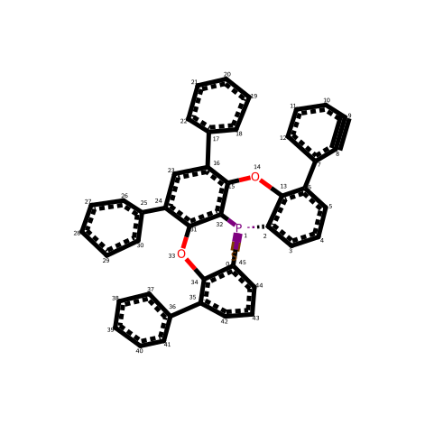 S=[P@@]12c3cccc(-c4c#cccc4)c3Oc3c(-c4ccccc4)cc(-c4ccccc4)c(c31)Oc1c(-c3ccccc3)cccc12